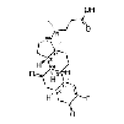 C[C@H](CCC(=O)O)[C@H]1CC[C@H]2[C@@H]3C(=O)C[C@@H]4CC(=O)C(F)=C[C@]4(C)[C@H]3CC[C@]12C